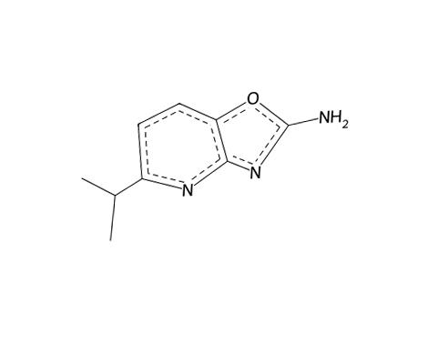 CC(C)c1ccc2oc(N)nc2n1